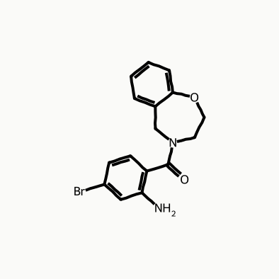 Nc1cc(Br)ccc1C(=O)N1CCOc2ccccc2C1